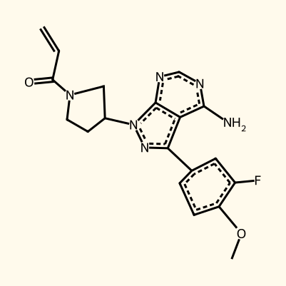 C=CC(=O)N1CCC(n2nc(-c3ccc(OC)c(F)c3)c3c(N)ncnc32)C1